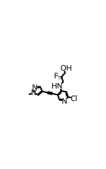 Cn1cc(C#Cc2cnc(Cl)cc2NC[C@H](F)CO)cn1